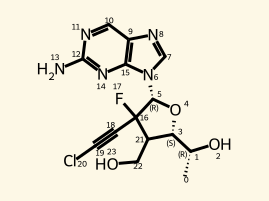 C[C@@H](O)[C@H]1O[C@@H](n2cnc3cnc(N)nc32)C(F)(C#CCl)C1CO